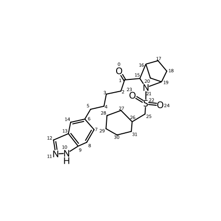 O=C(CCCCc1ccc2[nH]ncc2c1)C1C2CCC(C2)N1S(=O)(=O)CC1CCCCC1